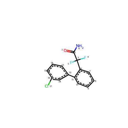 NC(=O)C(F)(F)c1ccccc1-c1cccc(Cl)c1